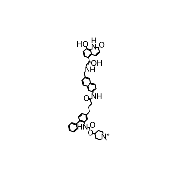 C[N+]1(C)CCC(OC(=O)Nc2cc(CCCC(=O)Nc3ccc4cc(CNC[C@H](O)c5ccc(O)c6[nH]c(=O)ccc56)ccc4c3)ccc2-c2ccccc2)CC1